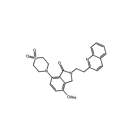 COc1ccc(N2CCS(=O)(=O)CC2)c2c1CN(CCc1ccc3ccccc3n1)C2=O